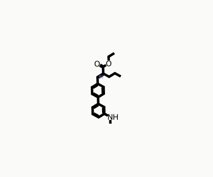 CCC/C(=C\c1ccc(-c2cccc(NC)c2)cc1)C(=O)OCC